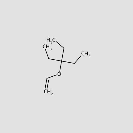 C=COC(CC)(CC)CC